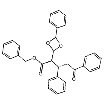 O=C(C[C@H](c1ccccc1)C(C(=O)OCc1ccccc1)C1OC(c2ccccc2)O1)c1ccccc1